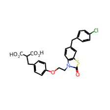 O=C(O)C(Cc1ccc(OCCn2c(=O)sc3cc(Cc4ccc(Cl)cc4)ccc32)cc1)C(=O)O